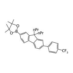 CCCC1(CCC)c2cc(B3OC(C)(C)C(C)(C)O3)ccc2-c2ccc(-c3ccc(C(F)(F)F)cc3)cc21